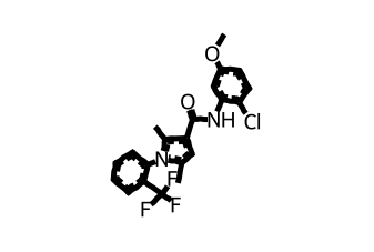 COc1ccc(Cl)c(NC(=O)c2cc(C)n(-c3ccccc3C(F)(F)F)c2C)c1